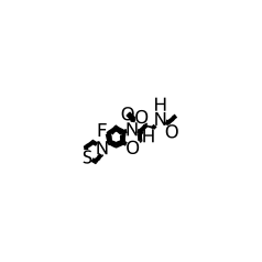 CC(=O)NC[C@@H]1OC(=O)N2c3cc(F)c(N4CCSCC4)cc3OC[C@@H]12